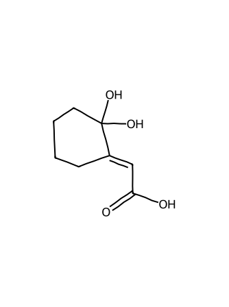 O=C(O)C=C1CCCCC1(O)O